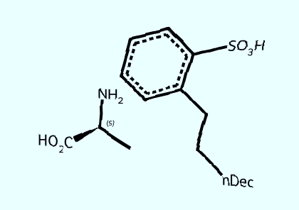 CCCCCCCCCCCCc1ccccc1S(=O)(=O)O.C[C@H](N)C(=O)O